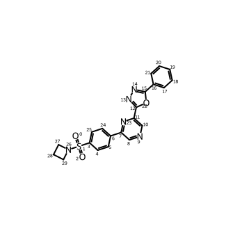 O=S(=O)(c1ccc(-c2cncc(-c3nnc(-c4ccccc4)o3)n2)cc1)N1CCC1